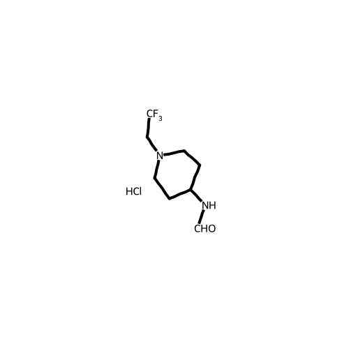 Cl.O=CNC1CCN(CC(F)(F)F)CC1